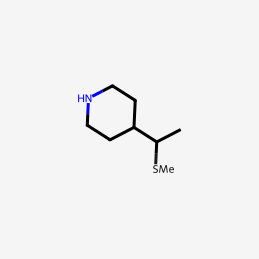 CSC(C)C1CCNCC1